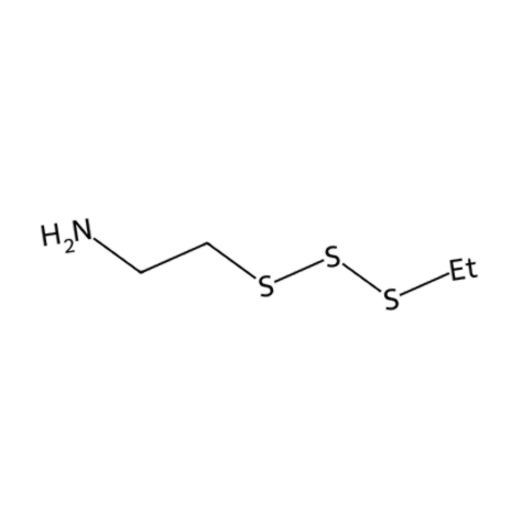 CCSSSCCN